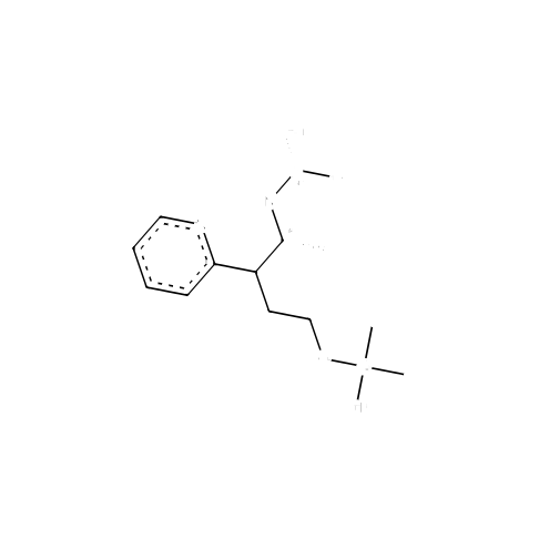 C[C@@H](N[S@@+]([O-])C(C)(C)C)C(CCO[Si](C)(C)C(C)(C)C)c1ccccn1